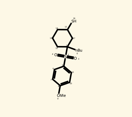 CCCCC1(S(=O)(=O)c2ccc(OC)cc2)CCCC(S)C1